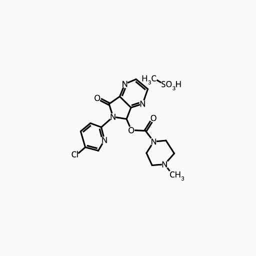 CN1CCN(C(=O)OC2c3nccnc3C(=O)N2c2ccc(Cl)cn2)CC1.CS(=O)(=O)O